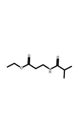 CCOC(=O)CCNC(=O)C(C)C